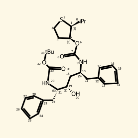 CC(C)[C@@H]1SCC[C@@H]1OC(=O)N[C@@H](Cc1ccccc1)C[C@H](O)[C@H](Cc1ccccc1)NC(=O)OC(C)(C)C